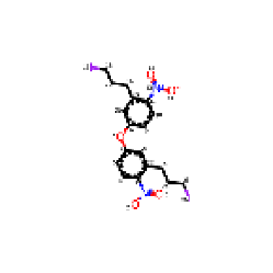 O=[N+]([O-])c1ccc(Oc2ccc([N+](=O)[O-])c(CCCI)c2)cc1CCCI